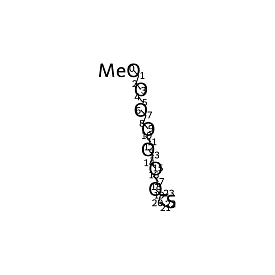 COCCOCCOCCOCCOCCOCCOc1ccsc1